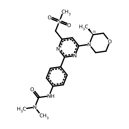 C[C@H]1COCCN1c1cc(CS(C)(=O)=O)nc(-c2ccc(NC(=O)N(C)C)cc2)n1